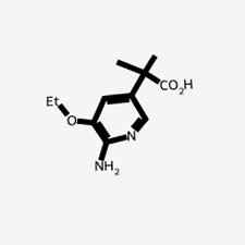 CCOc1cc(C(C)(C)C(=O)O)cnc1N